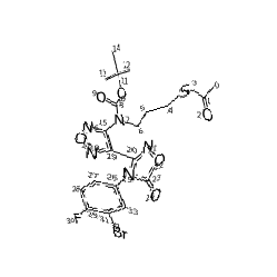 CC(=O)SCCCN(C(=O)OC(C)(C)C)c1nonc1-c1noc(=O)n1-c1ccc(F)c(Br)c1